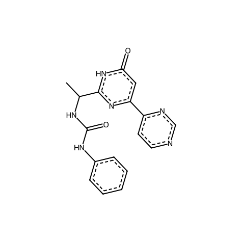 CC(NC(=O)Nc1ccccc1)c1nc(-c2ccncn2)cc(=O)[nH]1